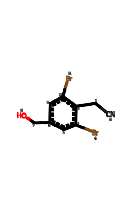 N#CCc1c(Br)cc(CO)cc1Br